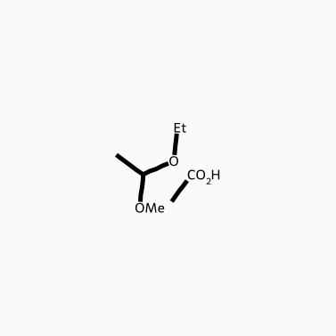 CC(=O)O.CCOC(C)OC